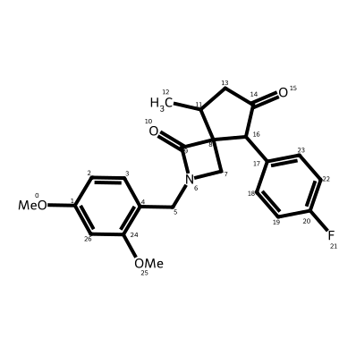 COc1ccc(CN2CC3(C2=O)C(C)CC(=O)C3c2ccc(F)cc2)c(OC)c1